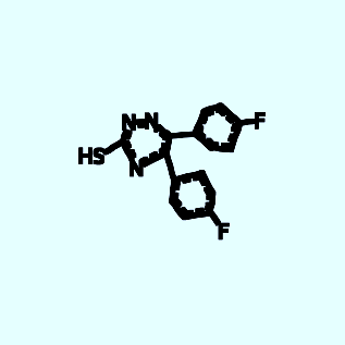 Fc1ccc(-c2nnc(S)nc2-c2ccc(F)cc2)cc1